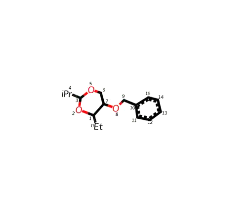 CCC1OC(C(C)C)OCC1OCc1ccccc1